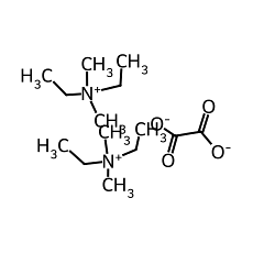 CC[N+](C)(C)CC.CC[N+](C)(C)CC.O=C([O-])C(=O)[O-]